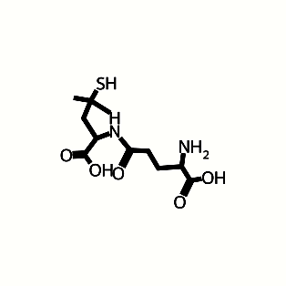 CC(C)(S)CC(NC(=O)CCC(N)C(=O)O)C(=O)O